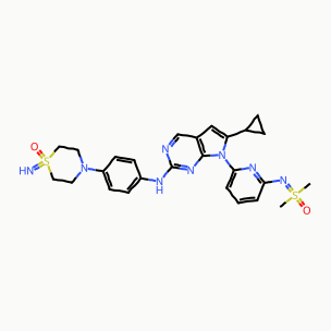 CS(C)(=O)=Nc1cccc(-n2c(C3CC3)cc3cnc(Nc4ccc(N5CCS(=N)(=O)CC5)cc4)nc32)n1